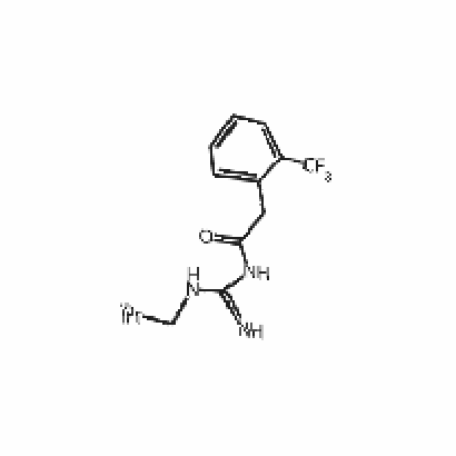 CC(C)CNC(=N)NC(=O)Cc1ccccc1C(F)(F)F